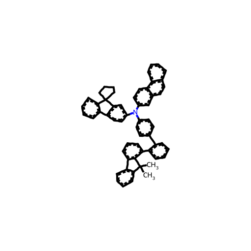 CC1(C)c2ccccc2-c2cccc(-c3ccccc3-c3ccc(N(c4ccc5c(c4)C4(CCCC4)c4ccccc4-5)c4ccc5c(ccc6ccccc65)c4)cc3)c21